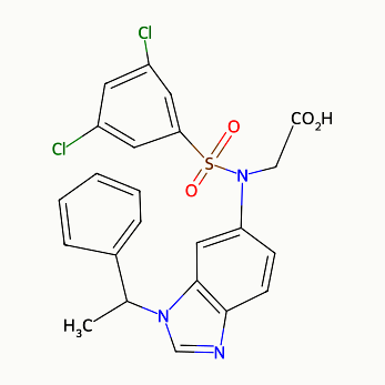 CC(c1ccccc1)n1cnc2ccc(N(CC(=O)O)S(=O)(=O)c3cc(Cl)cc(Cl)c3)cc21